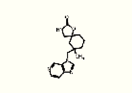 CC1(Cn2cnc3ccncc32)CCCC2(CNC(=O)O2)C1